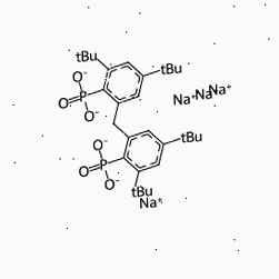 CC(C)(C)c1cc(Cc2cc(C(C)(C)C)cc(C(C)(C)C)c2P(=O)([O-])[O-])c(P(=O)([O-])[O-])c(C(C)(C)C)c1.[Na+].[Na+].[Na+].[Na+]